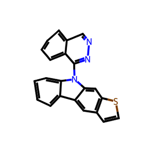 c1ccc2c(-n3c4ccccc4c4cc5ccsc5cc43)nncc2c1